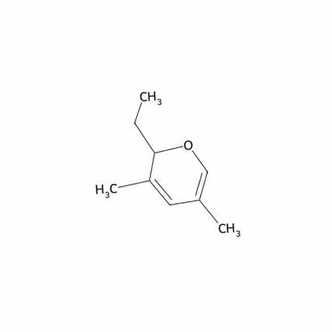 CCC1OC=C(C)C=C1C